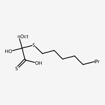 CCCCCCCCC(O)(SCCCCCC(C)C)C(O)=S